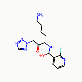 NCCCC[C@H](NC(O)c1cccnc1F)C(=O)Cn1ncnn1